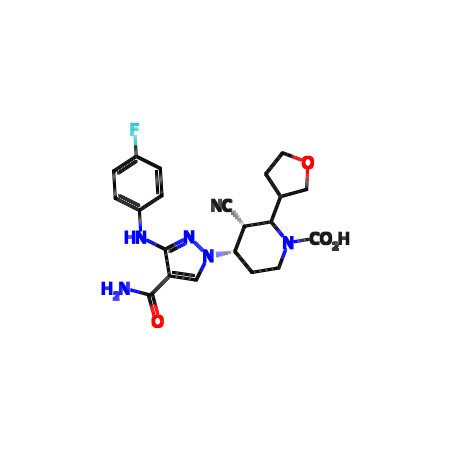 N#C[C@@H]1C(C2CCOC2)N(C(=O)O)CC[C@@H]1n1cc(C(N)=O)c(Nc2ccc(F)cc2)n1